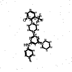 Cc1ccc(Nc2cc(N3CCCCC3)nc(N3CCN(c4c(C(F)(F)F)ccc[n+]4[O-])CC3)n2)cc1